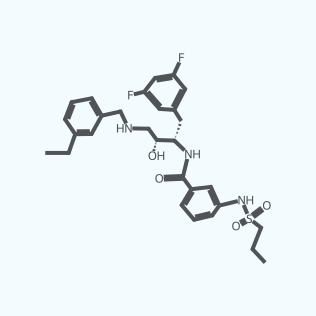 CCCS(=O)(=O)Nc1cccc(C(=O)N[C@@H](Cc2cc(F)cc(F)c2)[C@H](O)CNCc2cccc(CC)c2)c1